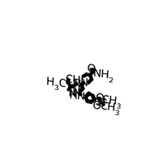 CC(C)c1cnn2c(Nc3ccc(S(=O)(=O)N(C)C)cc3)cc(N3CCC(C(N)=O)CC3)nc12